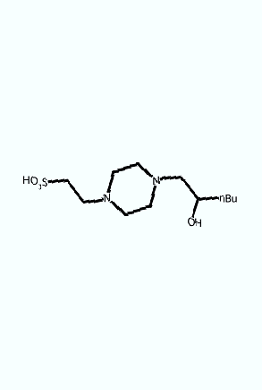 CCCCC(O)CN1CCN(CCS(=O)(=O)O)CC1